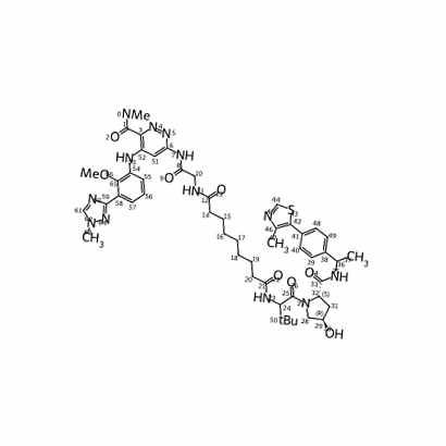 CNC(=O)c1nnc(NC(=O)CNC(=O)CCCCCCCC(=O)NC(C(=O)N2C[C@H](O)C[C@H]2C(=O)NC(C)c2ccc(-c3scnc3C)cc2)C(C)(C)C)cc1Nc1cccc(-c2ncn(C)n2)c1OC